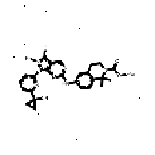 CCn1c(=O)c2cnc(Nc3ccc4c(c3)CCN(C(=O)OC(C)(C)C)C4(C)C)nc2n1-c1cccc(C2(C#N)CC2)n1